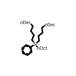 CCCCCCCCCCCCCC[Si](CCCCCCCC)(CCCCCCCCCCCCCC)c1ccccc1